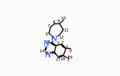 Cc1cc2c(N3CCCC(C)CC3)ncnc2cc1I